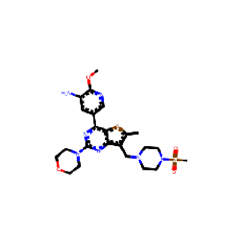 COc1ncc(-c2nc(N3CCOCC3)nc3c(CN4CCN(S(C)(=O)=O)CC4)c(C)sc23)cc1N